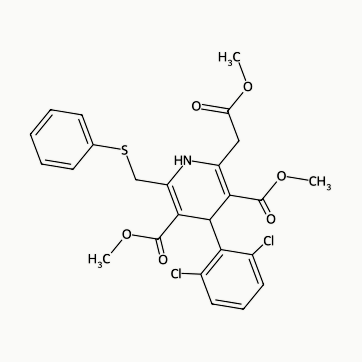 COC(=O)CC1=C(C(=O)OC)C(c2c(Cl)cccc2Cl)C(C(=O)OC)=C(CSc2ccccc2)N1